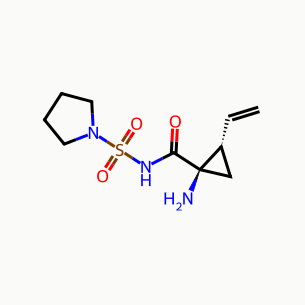 C=C[C@@H]1C[C@]1(N)C(=O)NS(=O)(=O)N1CCCC1